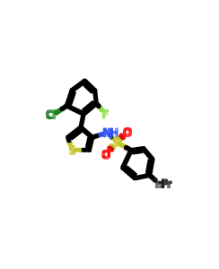 CCCc1ccc(S(=O)(=O)Nc2cscc2-c2c(F)cccc2Cl)cc1